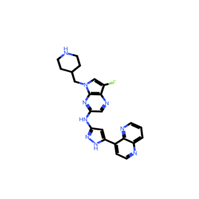 Fc1cn(CC2CCNCC2)c2nc(Nc3cc(-c4ccnc5cccnc45)[nH]n3)cnc12